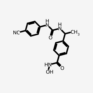 CC(NC(=O)Nc1ccc(C#N)cc1)c1ccc(C(=O)NO)cc1